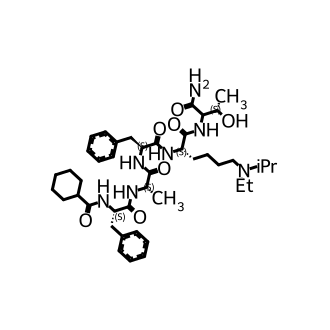 CCN(CCCC[C@H](NC(=O)[C@H](Cc1ccccc1)NC(=O)[C@H](C)NC(=O)[C@H](Cc1ccccc1)NC(=O)C1CCCCC1)C(=O)NC(C(N)=O)[C@H](C)O)C(C)C